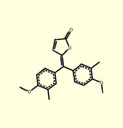 COc1ccc(C(=C2C=CC(=O)O2)c2ccc(OC)c(C)c2)cc1C